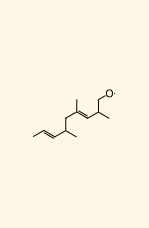 CC=CC(C)CC(C)=CC(C)C[O]